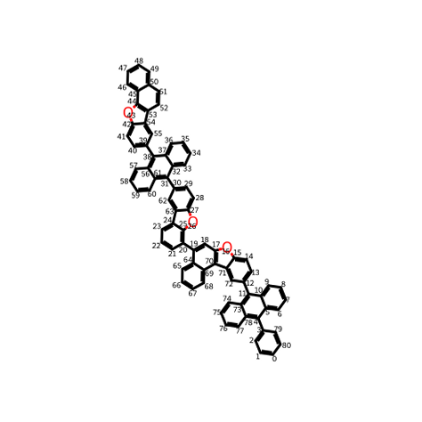 c1ccc(-c2c3ccccc3c(-c3ccc4oc5cc(-c6cccc7c6oc6ccc(-c8c9ccccc9c(-c9ccc%10oc%11c%12ccccc%12ccc%11c%10c9)c9ccccc89)cc67)c6ccccc6c5c4c3)c3ccccc23)cc1